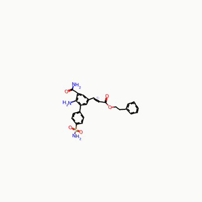 NC(=O)c1cc(/C=C/C(=O)OCCc2ccccc2)cc(-c2ccc(S(N)(=O)=O)cc2)c1N